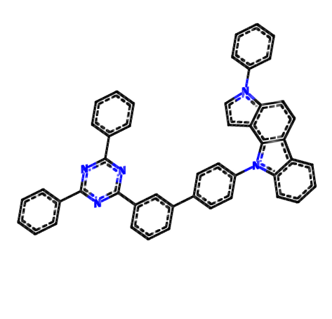 c1ccc(-c2nc(-c3ccccc3)nc(-c3cccc(-c4ccc(-n5c6ccccc6c6ccc7c(ccn7-c7ccccc7)c65)cc4)c3)n2)cc1